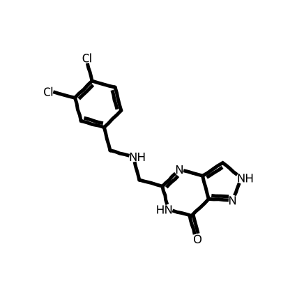 O=c1[nH]c(CNCc2ccc(Cl)c(Cl)c2)nc2c[nH]nc12